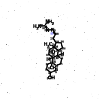 C[C@]12CCC(O)CC1CC[C@@H]1[C@H]2CC[C@]2(C)C(C/C=N\N=C(N)N)CC[C@@]12O